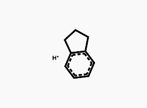 [H+].c1ccc2c(c1)CCC2